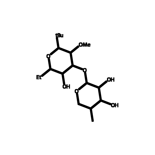 CCC1OC(C(C)(C)C)C(OC)C(OC2OCC(C)C(O)C2O)C1O